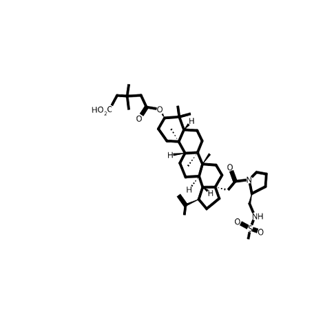 C=C(C)[C@@H]1CC[C@]2(CC(=O)N3CCC[C@H]3CNS(C)(=O)=O)CC[C@]3(C)[C@H](CC[C@@H]4[C@@]5(C)CC[C@H](OC(=O)CC(C)(C)CC(=O)O)C(C)(C)[C@@H]5CC[C@]43C)[C@@H]12